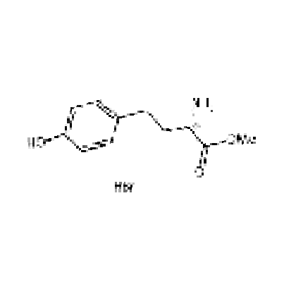 Br.COC(=O)[C@@H](N)CCc1ccc(O)cc1